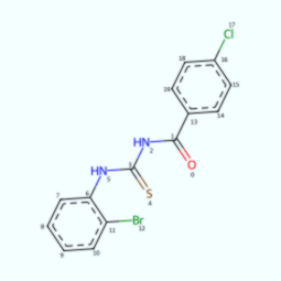 O=C(NC(=S)Nc1ccccc1Br)c1ccc(Cl)cc1